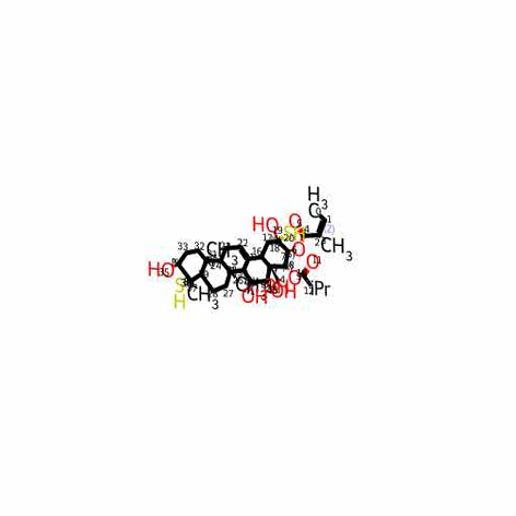 C/C=C(/C)C(=O)O[C@H]1[C@H](OC(=O)C(C)C)[C@@]2(CO)C(C[C@]1(O)S)C1=CCC3[C@@](C)(CCC4[C@]3(C)CC[C@H](O)[C@@]4(C)S)C1[C@@H](O)[C@H]2O